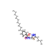 CCCCCCCCCCCc1ccc(S(=O)(=O)Nc2nnc(CCCC)s2)cc1